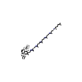 CCC(=O)Oc1c(C)c(C/C=C(\C)CC/C=C(\C)CC/C=C(\C)CC/C=C(\C)CC/C=C(\C)CC/C=C(\C)CCC=C(C)C)c(OC(=O)CC)c2ccccc12